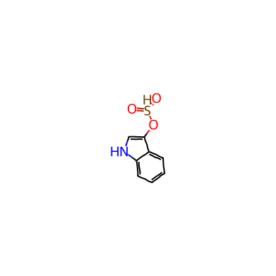 O=[SH](=O)Oc1c[nH]c2ccccc12